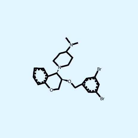 CN(C)C1CCN([C@H]2c3ccccc3OC[C@@H]2OCc2cc(Br)cc(Br)c2)CC1